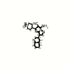 N#Cc1c(C2CCS(=O)(=O)CC2)nc2c(-c3cnc4ccccc4c3)cnn2c1N